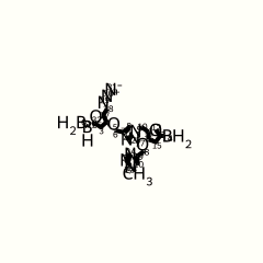 BBC1CC(OCc2cn(CC3OC(B)CC3OCc3cn(C)nn3)nn2)C(CN=[N+]=[N-])O1